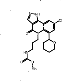 CC(C)(C)OC(=O)NCCCn1c(=O)c2cn[nH]c2c2cc(Cl)cc(C3CCCCO3)c21